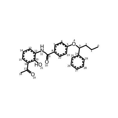 CCCC(Oc1ccc(C(=O)Nc2cccc(C(C)=O)c2O)cc1)c1ccccc1